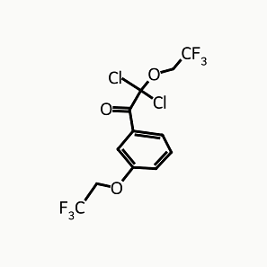 O=C(c1cccc(OCC(F)(F)F)c1)C(Cl)(Cl)OCC(F)(F)F